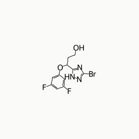 OCCC(Oc1cc(F)cc(F)c1)c1nc(Br)n[nH]1